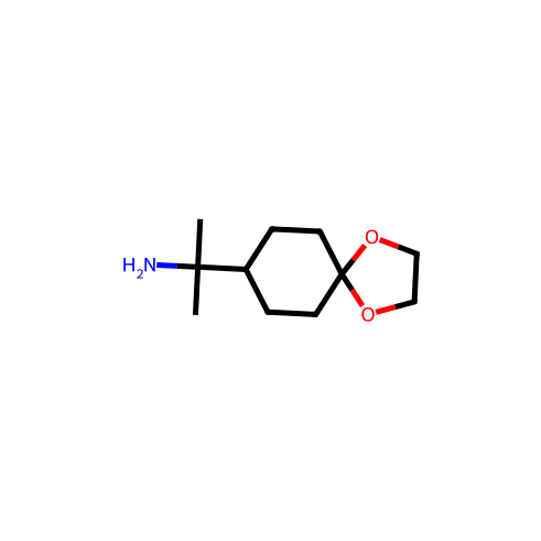 CC(C)(N)C1CCC2(CC1)OCCO2